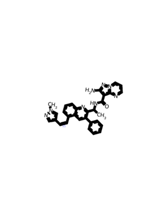 CC(NC(=O)c1c(N)nn2cccnc12)c1nc2cccc(/C=C\c3cnn(C)c3)c2cc1-c1ccccc1